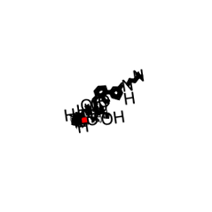 COc1c(CN2O[C@@H](CO)[C@H]([C@H](C)O)[C@H]2C(=O)N[C@H]2C[C@H]3C[C@@H]([C@@H]2C)C3(C)C)cccc1-c1cccc(CNCCN(C)C)c1